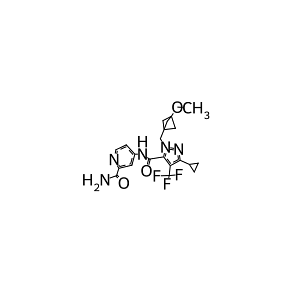 COC12CC(Cn3nc(C4CC4)c(C(F)(F)F)c3C(=O)Nc3ccnc(C(N)=O)c3)(C1)C2